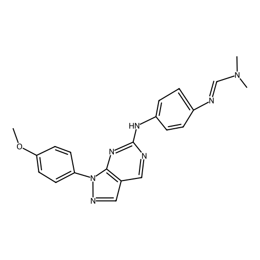 COc1ccc(-n2ncc3cnc(Nc4ccc(/N=C/N(C)C)cc4)nc32)cc1